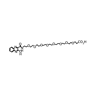 O=C(O)CCOCCOCCOCCOCCOCCOCCOCCOCCNC(=O)c1nc2ccccc2nc1O